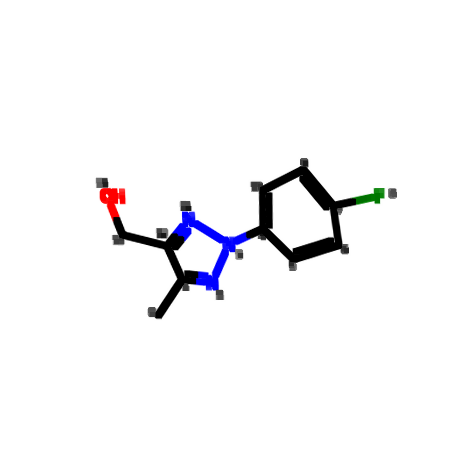 Cc1nn(-c2ccc(F)cc2)nc1CO